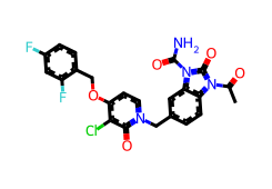 CC(=O)n1c(=O)n(C(N)=O)c2cc(Cn3ccc(OCc4ccc(F)cc4F)c(Cl)c3=O)ccc21